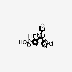 O=C(O)Nc1cccc(-c2nc(C3CCOCC3)oc2-c2ccnc(Cl)n2)c1F